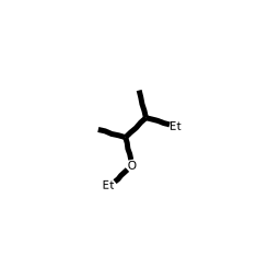 [CH2]CC(C)C(C)OCC